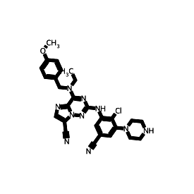 CCN(Cc1ccc(OC)cc1)c1nc(Nc2cc(C#N)cc(N3CCNCC3)c2Cl)nn2c(C#N)cnc12